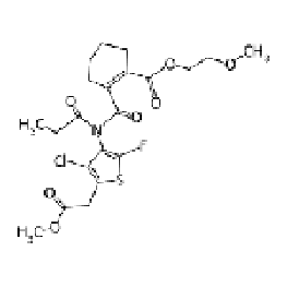 CCC(=O)N(C(=O)C1=C(C(=O)OCCOC)CCCC1)c1c(F)sc(CC(=O)OC)c1Cl